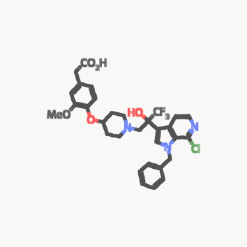 COc1cc(CC(=O)O)ccc1OC1CCN(CC(O)(c2cn(Cc3ccccc3)c3c(Cl)nccc23)C(F)(F)F)CC1